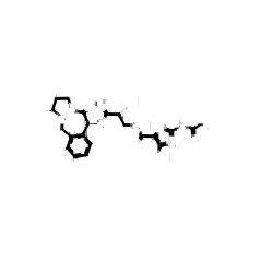 Cc1nc(NC(=O)C(C)C)sc1C(=O)NC[C@@H](C)C(=O)N[C@@H]1C(=O)N2CCCN2Cc2ccccc21